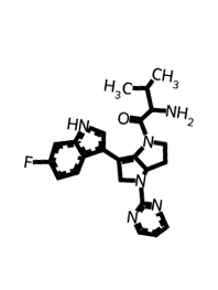 CC(C)C(N)C(=O)N1CCC2C1=C(c1c[nH]c3cc(F)ccc13)CN2c1ncccn1